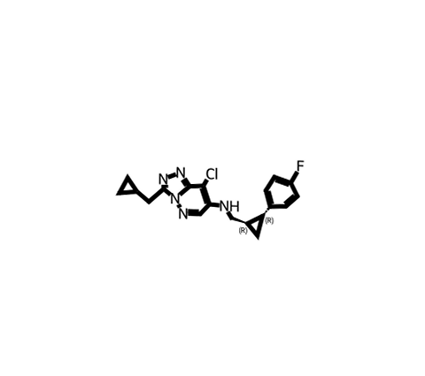 Fc1ccc([C@@H]2C[C@H]2CNc2cnn3c(CC4CC4)nnc3c2Cl)cc1